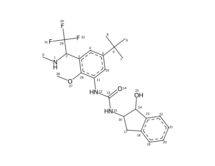 CNC(c1cc(C(C)(C)C)cc(NC(=O)NC2Cc3ccccc3C2O)c1OC)C(F)(F)F